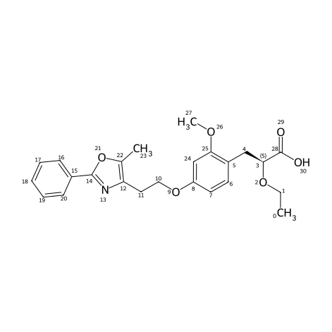 CCO[C@@H](Cc1ccc(OCCc2nc(-c3ccccc3)oc2C)cc1OC)C(=O)O